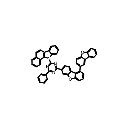 c1ccc(-c2nc(-c3ccc4c(c3)oc3cccc(-c5ccc6oc7ccccc7c6c5)c34)nc(-n3c4ccccc4c4ccc5ccccc5c43)n2)cc1